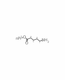 CCCOC(=O)CCCCN